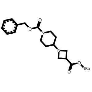 CC(C)(C)OC(=O)C1CN(C2CCN(C(=O)OCc3ccccc3)CC2)C1